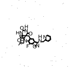 C[C@@H]1CN2c3c(cc4c(NCc5ccccn5)noc4c3F)CC3(C(=O)NC(=O)NC3=O)[C@H]2[C@H](C)O1